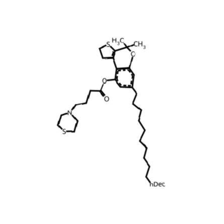 CCCCCCCCCCCCCCCCCCCCc1cc(OC(=O)CCCN2CCSCC2)c2c(c1)OC(C)(C)C1=C2CCS1